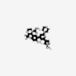 Cc1cc(F)c(C2C(C(F)(F)F)OCCN2C(N)=O)cc1-c1cc(-c2cnn(C)c2)nc(N2CCOCC2)c1